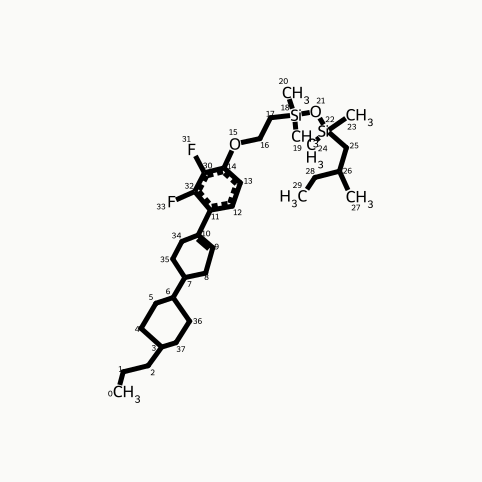 CCCC1CCC(C2CC=C(c3ccc(OCC[Si](C)(C)O[Si](C)(C)CC(C)CC)c(F)c3F)CC2)CC1